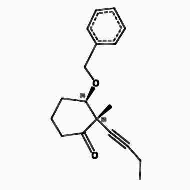 CCC#C[C@]1(C)C(=O)CCC[C@H]1OCc1ccccc1